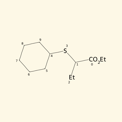 CCOC(=O)C(CC)SC1CCCCC1